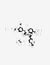 CCOc1cc(C(Nc2ccc(C(=N)N)cc2)C(=O)NNC(=O)c2ccc(C(F)(F)F)nc2)ccc1OC(C)C.O=C(O)C(F)(F)F